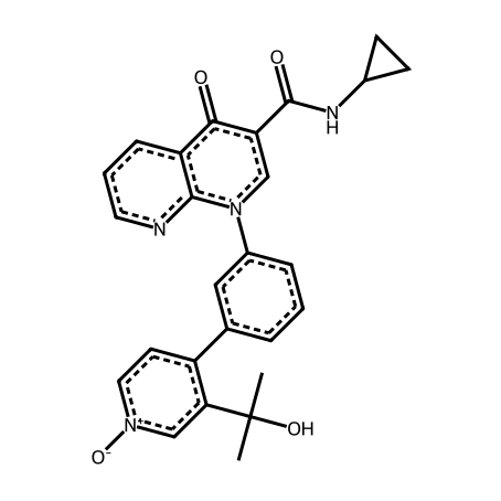 CC(C)(O)c1c[n+]([O-])ccc1-c1cccc(-n2cc(C(=O)NC3CC3)c(=O)c3cccnc32)c1